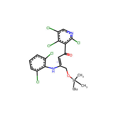 CC(C)(C)[Si](C)(C)OC/C(=C\C(=O)c1c(Cl)ncc(Cl)c1Cl)Nc1c(Cl)cccc1Cl